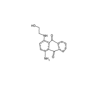 Nc1ccc(NCCO)c2c1C(=O)c1ccccc1C2=O